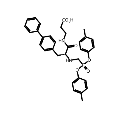 Cc1ccc(OP(=O)(CN[C@@H](Cc2ccc(-c3ccccc3)cc2)C(=O)NCCC(=O)O)Oc2ccc(C)cc2)cc1